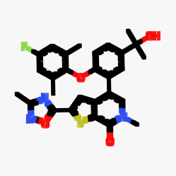 Cc1noc(-c2cc3c(-c4cc(C(C)(C)O)ccc4Oc4c(C)cc(F)cc4C)cn(C)c(=O)c3s2)n1